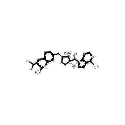 CO[C@@H]1[C@H](Cc2ccc3cc(C(F)F)c(N)nc3c2)CC[C@]1(O)[C@@H](O)n1ccc2c(C)ncnc21